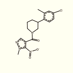 Cc1cc(Cl)ccc1C1CCCN(C(=O)c2cnn(C)c2[N+](=O)[O-])C1